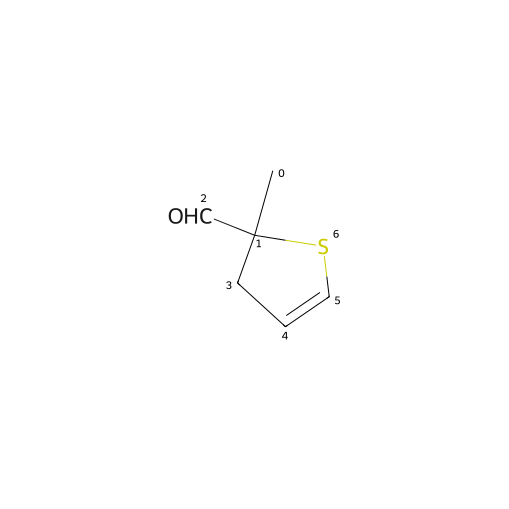 CC1(C=O)CC=CS1